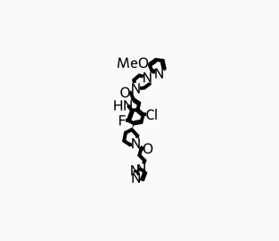 COc1cccnc1N1CCN(C(=O)c2cc3c(Cl)cc([C@H]4CCCN(C(=O)CCn5ccnn5)C4)c(F)c3[nH]2)CC1